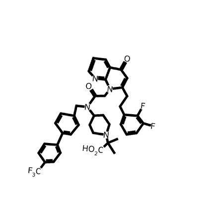 CC(C)(C(=O)O)N1CCC(N(Cc2ccc(-c3ccc(C(F)(F)F)cc3)cc2)C(=O)Cn2c(CCc3cccc(F)c3F)cc(=O)c3cccnc32)CC1